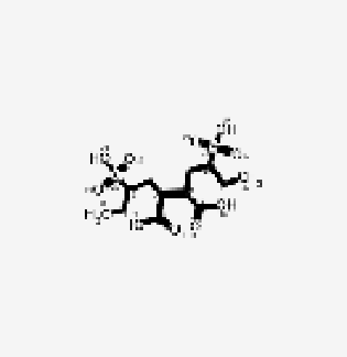 CCC(C/C(C(=O)O)=C(\CC(CC)S(=O)(=O)O)C(=O)O)S(=O)(=O)O